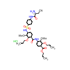 C=CCOC(=O)c1ccc(NC(=O)c2ccc(NS(=O)(=O)c3ccc(NC(=O)[C@@H](N)CC#N)cc3)c(OC)c2OCC=C)c(OC)c1OCC=C.Cl